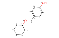 Oc1ccc(COC2CCCCC2)cc1